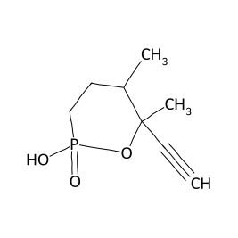 C#CC1(C)OP(=O)(O)CCC1C